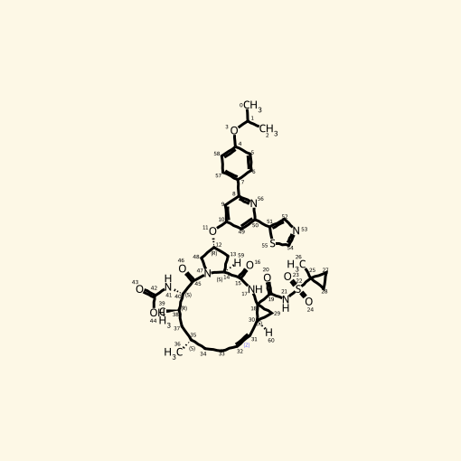 CC(C)Oc1ccc(-c2cc(O[C@@H]3C[C@H]4C(=O)NC5(C(=O)NS(=O)(=O)C6(C)CC6)C[C@H]5/C=C\CC[C@H](C)C[C@@H](C)[C@H](NC(=O)O)C(=O)N4C3)cc(-c3cncs3)n2)cc1